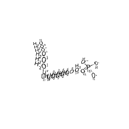 O.O.O.O.O.O.O.O.O.O.O.O.O=P([O-])([O-])[O-].[Li+].[Li+].[Li+]